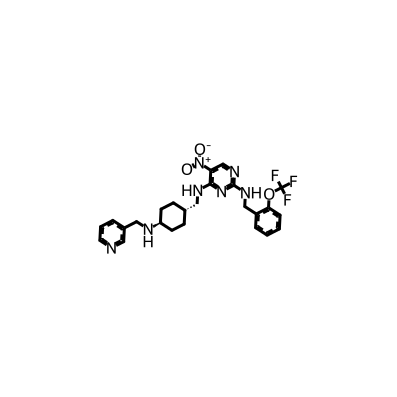 O=[N+]([O-])c1cnc(NCc2ccccc2OC(F)(F)F)nc1NC[C@H]1CC[C@H](NCc2cccnc2)CC1